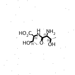 C[C@H](O)[C@H](N)C(=O)N[C@H](C(=O)O)[C@H](C)O